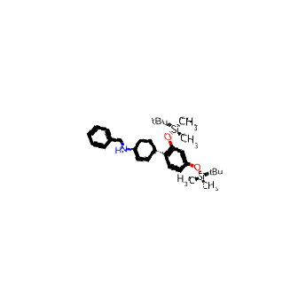 CC(C)(C)[Si](C)(C)Oc1ccc([C@H]2CC[C@H](NCc3ccccc3)CC2)c(O[Si](C)(C)C(C)(C)C)c1